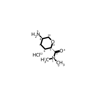 CN(C)C(=O)[C@@H]1CC[C@@H](N)CO1.Cl